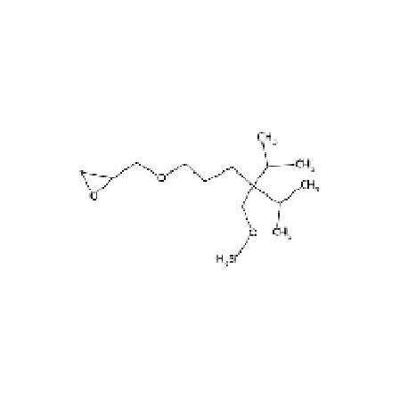 CC(C)C(CCCOCC1CO1)(CO[SiH3])C(C)C